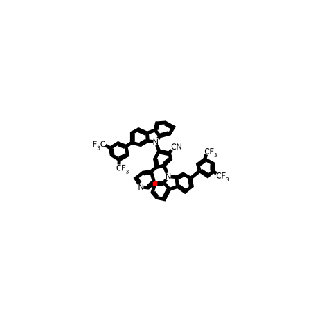 N#Cc1cc(-n2c3ccccc3c3ccc(-c4cc(C(F)(F)F)cc(C(F)(F)F)c4)cc32)c(-c2ccncc2)cc1-n1c2ccccc2c2ccc(-c3cc(C(F)(F)F)cc(C(F)(F)F)c3)cc21